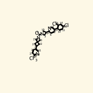 O=C(N1CC(c2ccc(-c3ccc(Cl)cc3Cl)cn2)C1)N1CC2(CC(c3ccc(C(F)(F)F)nc3)C2)C1